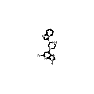 CC(C)c1cc(N2CCN[C@@H](c3cnc4ccccn34)C2)c2nc[nH]c2n1